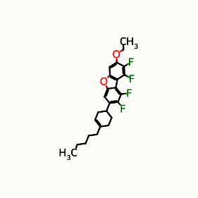 CCCCCC1=CCC(c2cc3oc4cc(OCC)c(F)c(F)c4c3c(F)c2F)CC1